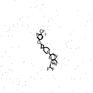 FC(F)Cn1ncc2ncc(N3CCC4(CC3)CC(Oc3ccc(C(F)(F)F)nc3)C4)nc21